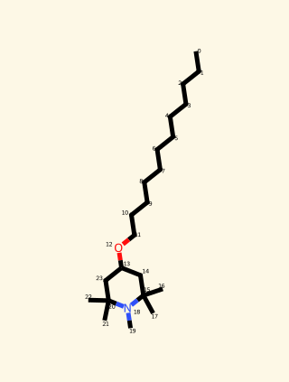 CCCCCCCCCCCCOC1CC(C)(C)N(C)C(C)(C)C1